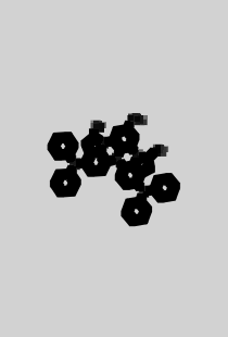 CC(C)c1cc2c(N(c3ccccc3)c3ccccc3)ccc3c2n1-c1cc(C(C)(C)C)cc2c1B3c1ccc(N(c3ccccc3)c3ccccc3)c3cc(C(C)C)n-2c13